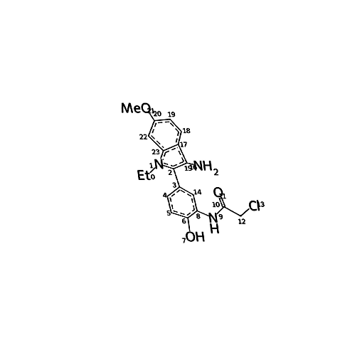 CCn1c(-c2ccc(O)c(NC(=O)CCl)c2)c(N)c2ccc(OC)cc21